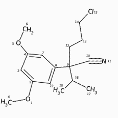 COc1cc(OC)cc(C(C#N)(CCCCl)C(C)C)c1